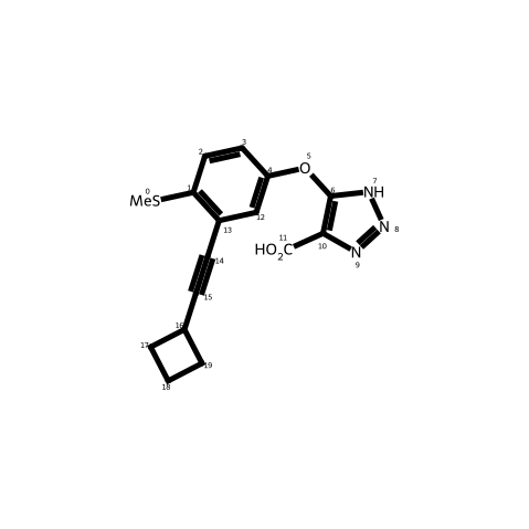 CSc1ccc(Oc2[nH]nnc2C(=O)O)cc1C#CC1CCC1